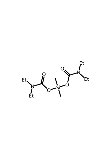 CCN(CC)C(=O)O[Si](C)(C)OC(=O)N(CC)CC